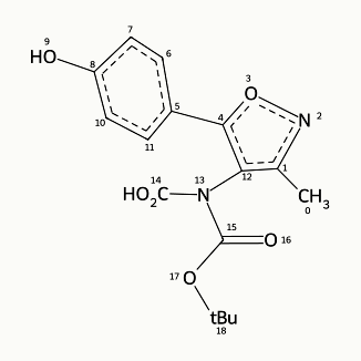 Cc1noc(-c2ccc(O)cc2)c1N(C(=O)O)C(=O)OC(C)(C)C